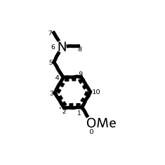 COc1[c]cc(CN(C)C)cc1